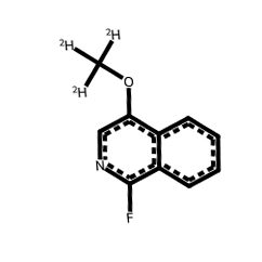 [2H]C([2H])([2H])Oc1cnc(F)c2ccccc12